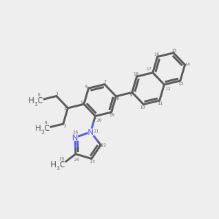 CCC(CC)c1ccc(-c2ccc3ccccc3c2)cc1-n1ccc(C)n1